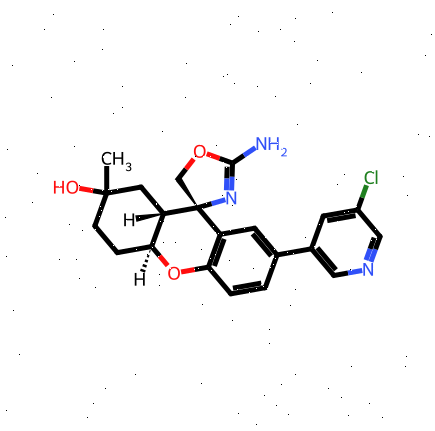 CC1(O)CC[C@@H]2Oc3ccc(-c4cncc(Cl)c4)cc3[C@]3(COC(N)=N3)[C@H]2C1